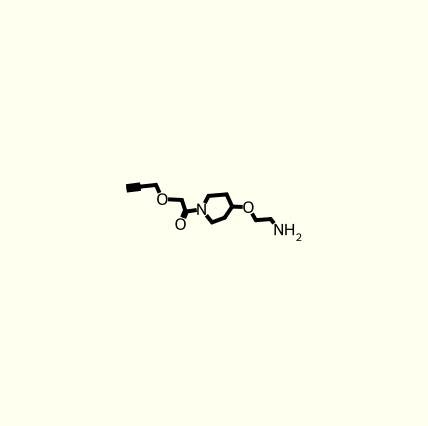 C#CCOCC(=O)N1CCC(OCCN)CC1